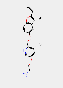 C=Cc1c(/C=C\C)oc2ccc(OCc3ncc(OCCN(C)OC)cc3OC)cc12